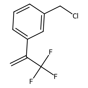 C=C(c1cccc(CCl)c1)C(F)(F)F